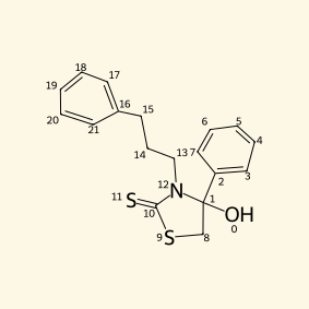 OC1(c2ccccc2)CSC(=S)N1CCCc1ccccc1